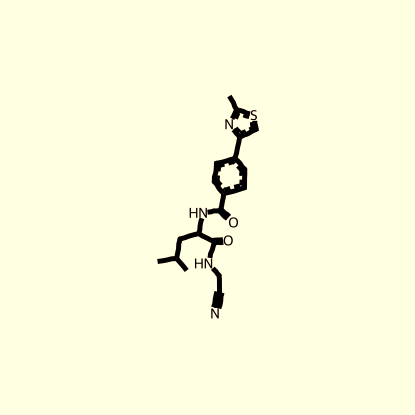 Cc1nc(-c2ccc(C(=O)NC(CC(C)C)C(=O)NCC#N)cc2)cs1